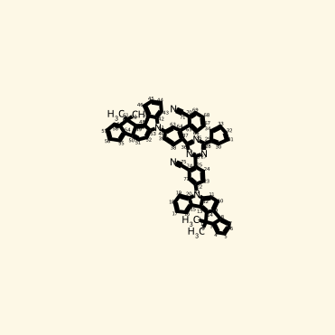 CC1(C)c2ccccc2-c2ccc3c(c21)c1ccccc1n3-c1ccc(-c2nc(-c3ccccc3)nc(-c3ccc(-n4c5ccccc5c5c6c(ccc54)-c4ccccc4C6(C)C)cc3-c3ccccc3C#N)n2)c(C#N)c1